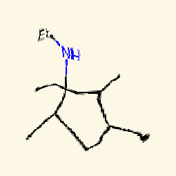 CCNC1(C)C(C)CC(C)C1C